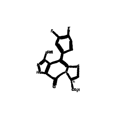 CCCCCCc1n[nH]c2c(=O)n3c(c(-c4ccc(F)c(F)c4)c12)SC[C@H]3C(=O)O